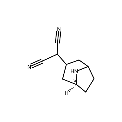 N#CC(C#N)C1CC2CC[C@@H](C1)N2